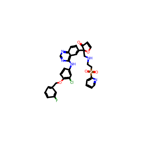 O=C1C=COC1(CNCCS(=O)(=O)c1ccccn1)c1ccc2ncnc(Nc3ccc(OCc4cccc(F)c4)c(Cl)c3)c2c1